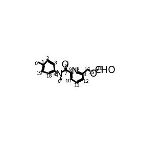 Cc1ccc(N(C)C(=O)c2cccc(COC=O)n2)cc1